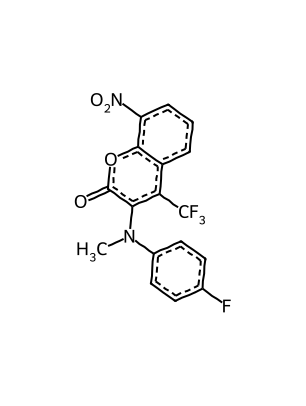 CN(c1ccc(F)cc1)c1c(C(F)(F)F)c2cccc([N+](=O)[O-])c2oc1=O